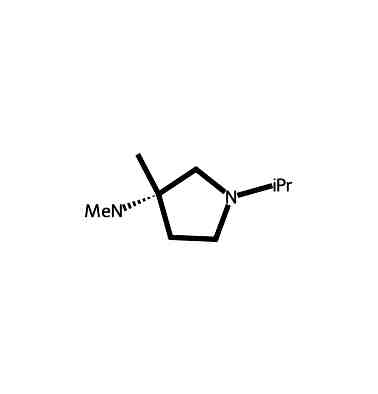 CN[C@@]1(C)CCN(C(C)C)C1